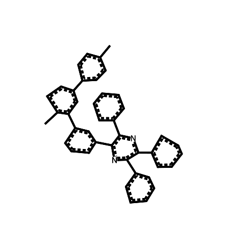 Cc1ccc(-c2ccc(C)c(-c3cccc(-c4nc(-c5ccccc5)c(-c5ccccc5)nc4-c4ccccc4)c3)c2)cc1